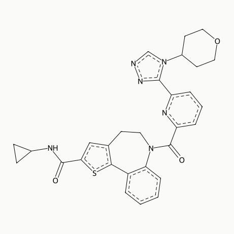 O=C(NC1CC1)c1cc2c(s1)-c1ccccc1N(C(=O)c1cccc(-c3nncn3C3CCOCC3)n1)CC2